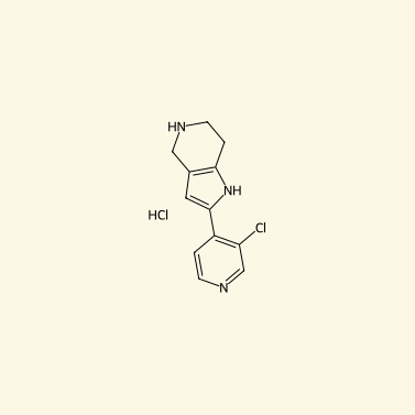 Cl.Clc1cnccc1-c1cc2c([nH]1)CCNC2